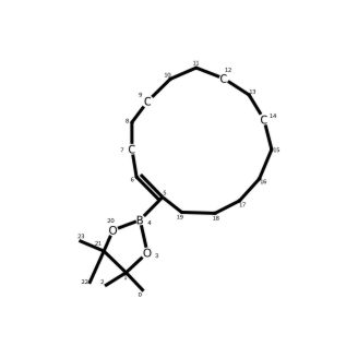 CC1(C)OB(/C2=C/CCCCCCCCCCCCC2)OC1(C)C